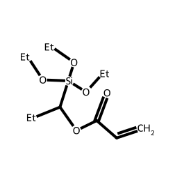 C=CC(=O)OC(CC)[Si](OCC)(OCC)OCC